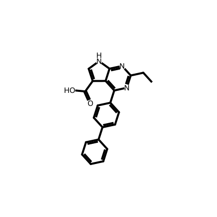 CCc1nc(-c2ccc(-c3ccccc3)cc2)c2c(C(=O)O)c[nH]c2n1